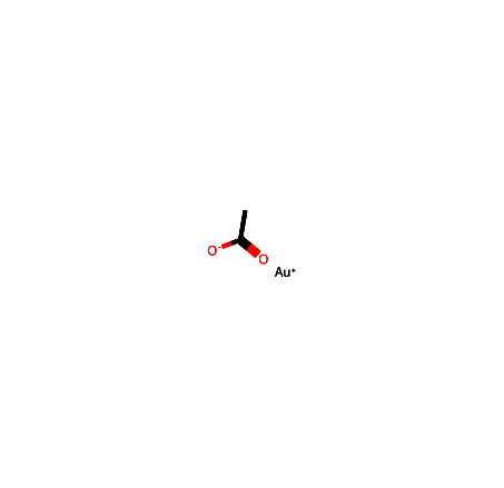 CC(=O)[O-].[Au+]